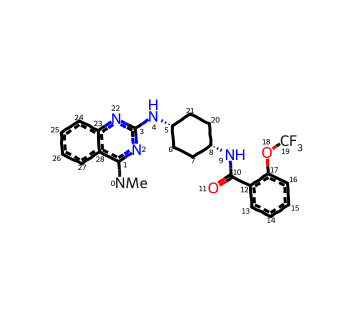 CNc1nc(N[C@H]2CC[C@@H](NC(=O)c3ccccc3OC(F)(F)F)CC2)nc2ccccc12